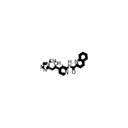 C[C@H](Cc1nncn1C)c1ccnc(NC(=O)c2ccc3ccccc3n2)c1